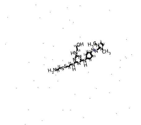 Cn1cc[n+](C)c1/N=N/c1ccc(Nc2nc(NCCO)nc(NCCSSCCN)n2)cc1